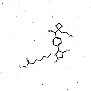 CCCC1(C(O)c2ccc(C3C(O)C[C@@H](Cl)[C@@H]3CCCCCCC(=O)OC)cc2)CCC1